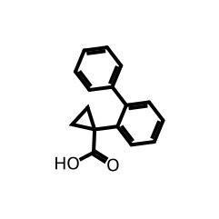 O=C(O)C1(c2ccccc2-c2ccccc2)CC1